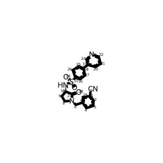 N#Cc1cccc(CN2CC[C@H](NS(=O)(=O)c3ccc(-c4cccnc4)cc3)C2=O)c1